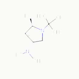 C[C@@H]1C[C@@H](N(C)C)CN1C(C)(C)C